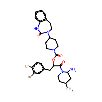 CC1CCN(C(=O)C(Cc2ccc(Br)c(Br)c2)OC(=O)N2CCC(N3CCc4ccccc4NC3=O)CC2)C(N)C1